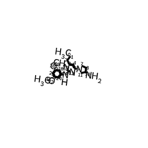 CCCc1cc(N2CCC(N)C2)nc(Nc2cc(OC)cc(OC)c2)n1